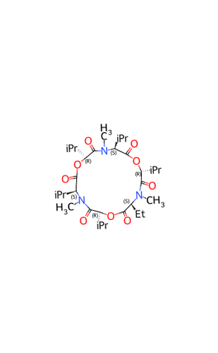 CC[C@H]1C(=O)O[C@H](C(C)C)C(=O)N(C)[C@@H](C(C)C)C(=O)O[C@H](C(C)C)C(=O)N(C)[C@@H](C(C)C)C(=O)O[C@H](C(C)C)C(=O)N1C